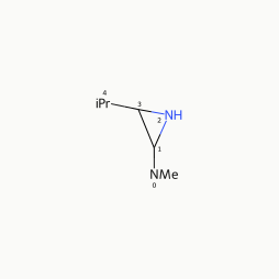 CNC1NC1C(C)C